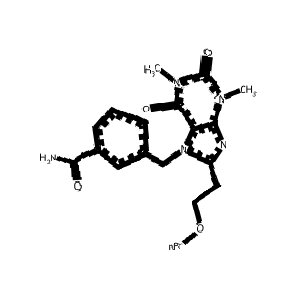 CCCOCCc1nc2c(c(=O)n(C)c(=O)n2C)n1Cc1cccc(C(N)=O)c1